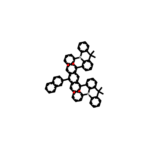 CC1(C)c2ccccc2N(c2ccccc2)c2c(-c3cccc4c(-c5ccc6ccccc6c5)c5cccc(-c6cccc7c6N(c6ccccc6)c6ccccc6C7(C)C)c5cc34)cccc21